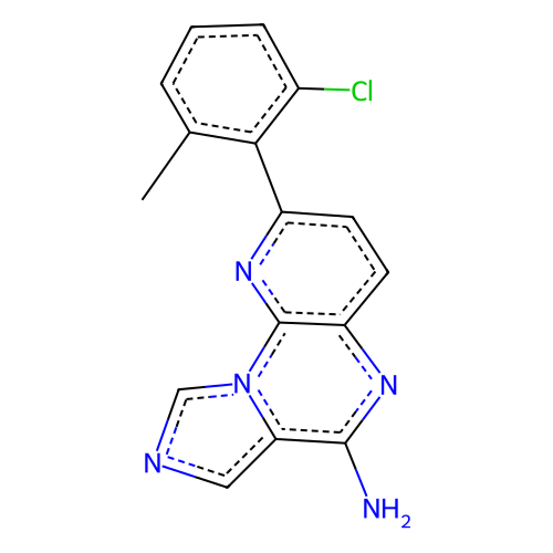 Cc1cccc(Cl)c1-c1ccc2nc(N)c3cncn3c2n1